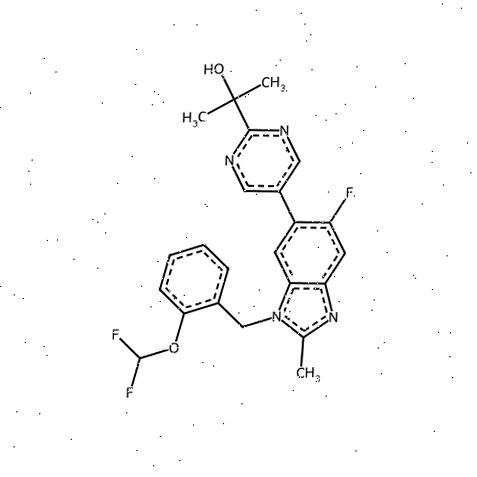 Cc1nc2cc(F)c(-c3cnc(C(C)(C)O)nc3)cc2n1Cc1ccccc1OC(F)F